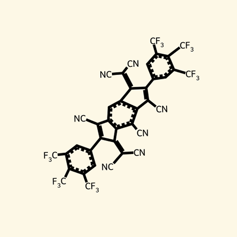 N#CC(C#N)=C1C(c2cc(C(F)(F)F)c(C(F)(F)F)c(C(F)(F)F)c2)=C(C#N)c2c1cc1c(c2C#N)C(=C(C#N)C#N)C(c2cc(C(F)(F)F)c(C(F)(F)F)c(C(F)(F)F)c2)=C1C#N